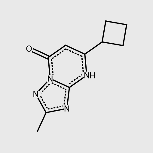 Cc1nc2[nH]c(C3CCC3)cc(=O)n2n1